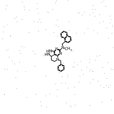 CN(Cc1cccc2ccccc12)c1nc2c3c(n1)N(Cc1ccccc1)CCC3NN2